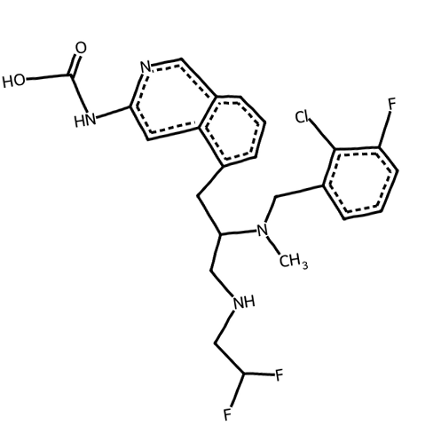 CN(Cc1cccc(F)c1Cl)C(CNCC(F)F)Cc1cccc2cnc(NC(=O)O)cc12